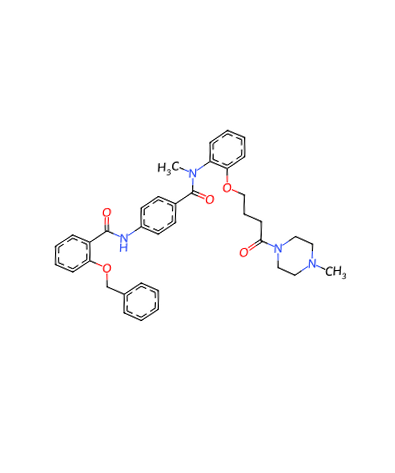 CN1CCN(C(=O)CCCOc2ccccc2N(C)C(=O)c2ccc(NC(=O)c3ccccc3OCc3ccccc3)cc2)CC1